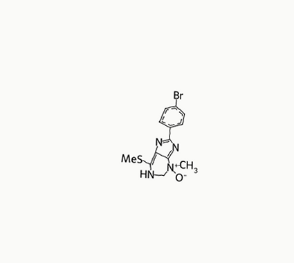 CSC1=C2N=C(c3ccc(Br)cc3)N=C2[N+](C)([O-])CN1